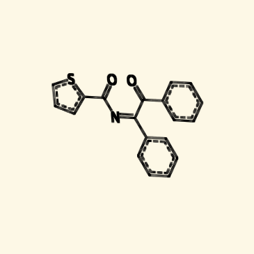 O=C(C(=NC(=O)c1cccs1)c1ccccc1)c1ccccc1